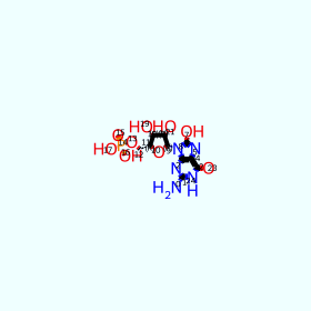 Nc1nc2c(nc(O)n2[C@@H]2O[C@H](COP(=O)(O)O)[C@@H](O)[C@H]2O)c(=O)[nH]1